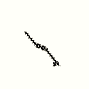 C=CCCCCCCCCCOc1ccc(-c2ccc(OCCCCCCCCCCC(OCC)OCC)cc2)cc1